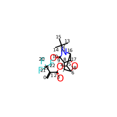 C=C(C(=O)OC1C2CC3C(=O)N(C(C)(C)C)C1C3O2)C(F)(F)F